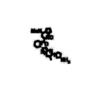 CNC(CC(N=O)C(=O)N1CCCC[C@H]1c1cc2nc(N3CC[C@H](N)C3)c(C)cn2n1)c1cccs1